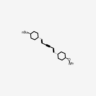 CCCC[C@H]1CC[C@H](/C=C/C#C/C=C/[C@H]2CC[C@H](OCCC)CC2)CC1